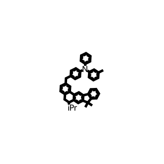 Cc1cccc(N(c2ccccc2)c2ccc(Cc3ccc4c(c3)-c3cc5c(cc3C(C(C)C)C4)C(C)(C)c3ccccc3-5)cc2)c1